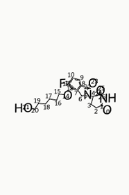 O=C1CCC(N2Cc3c(ccc(F)c3OCCCCCCO)C2=O)C(=O)N1